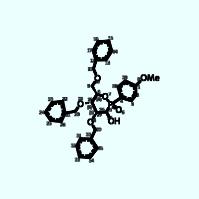 COc1ccc(P2(=O)O[C@H](COCc3ccccc3)[C@@H](OCc3ccccc3)[C@H](OCc3ccccc3)C2O)cc1